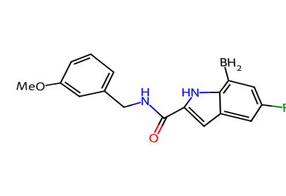 Bc1cc(F)cc2cc(C(=O)NCc3cccc(OC)c3)[nH]c12